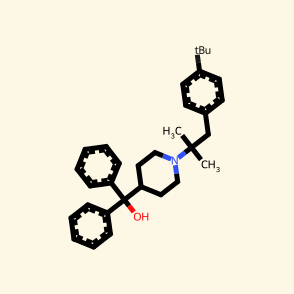 CC(C)(C)c1ccc(CC(C)(C)N2CCC(C(O)(c3ccccc3)c3ccccc3)CC2)cc1